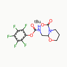 CC(C)(C)OC(=O)N1CCCOC1CNC(=O)Oc1c(F)c(F)c(F)c(F)c1F